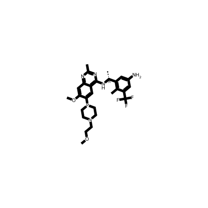 COCCN1CCP(c2cc3c(N[C@H](C)c4cc(N)cc(C(F)(F)F)c4C)nc(C)nc3cc2OC)CC1